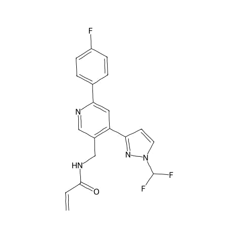 C=CC(=O)NCc1cnc(-c2ccc(F)cc2)cc1-c1ccn(C(F)F)n1